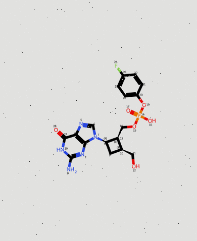 Nc1nc2c(ncn2[C@@H]2C[C@H](CO)[C@@H]2COP(=O)(O)Oc2ccc(F)cc2)c(=O)[nH]1